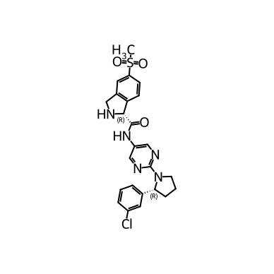 CS(=O)(=O)c1ccc2c(c1)CN[C@H]2C(=O)Nc1cnc(N2CCC[C@@H]2c2cccc(Cl)c2)nc1